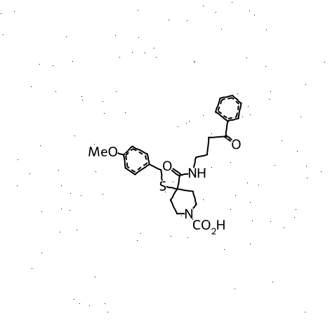 COc1ccc(CSC2(C(=O)NCCCC(=O)c3ccccc3)CCN(C(=O)O)CC2)cc1